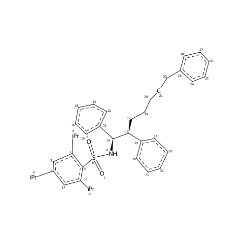 CC(C)c1cc(C(C)C)c(S(=O)(=O)N[C@@H](c2ccccc2)[C@@H](CCCCCc2ccccc2)c2ccccc2)c(C(C)C)c1